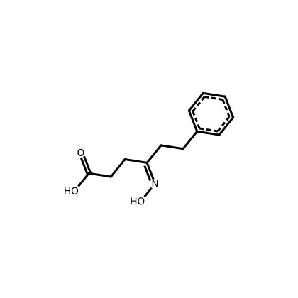 O=C(O)CCC(CCc1ccccc1)=NO